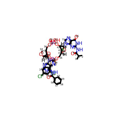 CC(C)C(=O)Nc1nc2c(ncn2[C@@H]2O[C@@H]3COP(=S)(SCc4ccc(Cl)cc4Cl)O[C@H]4[C@H]5OC[C@]4(COP(=O)(O)O[C@@H]2[C@H]3F)O[C@H]5n2cnc3c(NC(=O)c4ccccc4)ncnc32)c(=O)[nH]1